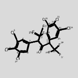 O=C(C(c1cc(Cl)c(Cl)c(Cl)c1)C(F)(F)F)C(c1cc(Cl)c(Cl)c(Cl)c1)C(F)(F)F